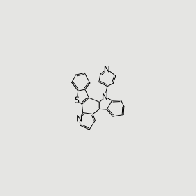 c1ccc2c(c1)sc1c3ncccc3c3c4ccccc4n(-c4ccncc4)c3c21